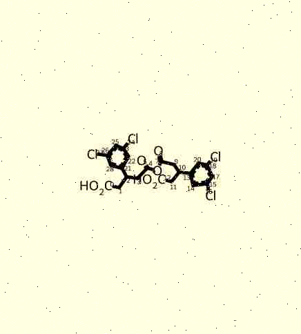 O=C(O)CC(CC(=O)OC(=O)CC(CC(=O)O)c1cc(Cl)cc(Cl)c1)c1cc(Cl)cc(Cl)c1